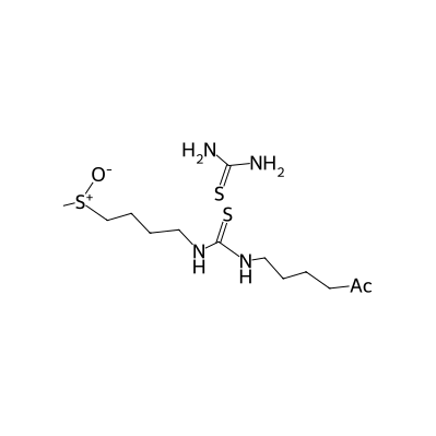 CC(=O)CCCCNC(=S)NCCCC[S+](C)[O-].NC(N)=S